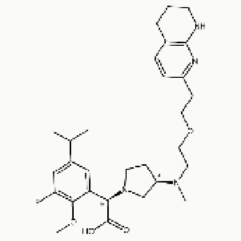 COc1c(F)cc(C(C)C)cc1[C@H](C(=O)O)N1CC[C@@H](N(C)CCOCCc2ccc3c(n2)NCCC3)C1